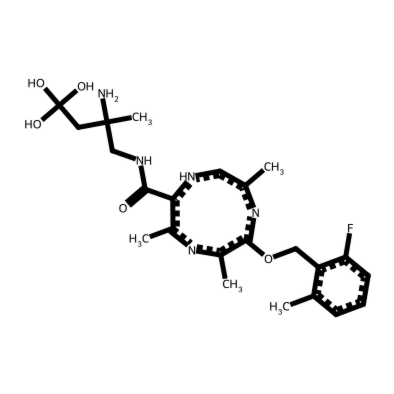 Cc1c[nH]c(C(=O)NCC(C)(N)CC(O)(O)O)c(C)nc(C)c(OCc2c(C)cccc2F)n1